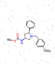 COc1ccc(CN2C[C@@H](NC(=O)OC(C)(C)C)C[C@H]2c2ccccc2)cc1